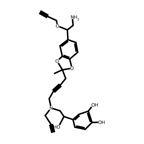 C#CCOC(CN)c1ccc2c(c1)OC(C)(CC#CCN(CC#C)CC(O)c1ccc(O)c(O)c1)O2